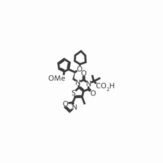 COc1ccccc1[C@H](Cn1c(=O)n(C(C)(C)C(=O)O)c(=O)c2c(C)c(-c3ncco3)sc21)OC1CCCCC1